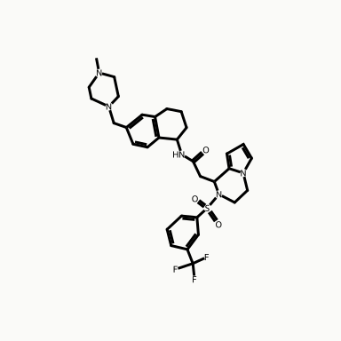 CN1CCN(Cc2ccc3c(c2)CCCC3NC(=O)CC2c3cccn3CCN2S(=O)(=O)c2cccc(C(F)(F)F)c2)CC1